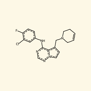 Fc1ccc(Nc2ncnn3ccc(CN4CC=CCC4)c23)cc1Cl